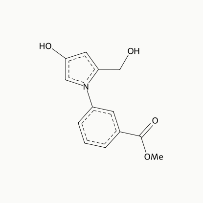 COC(=O)c1cccc(-n2cc(O)cc2CO)c1